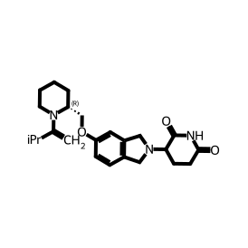 C=C(C(C)C)N1CCCC[C@@H]1COc1ccc2c(c1)CN(C1CCC(=O)NC1=O)C2